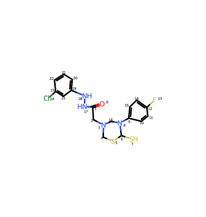 O=C(CN1CSC(S)N(c2ccc(F)cc2)C1)NNc1cccc(Cl)c1